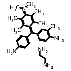 CC1=C(C)C(=[N+](C)C)C(C)=C(C)C1=C(c1ccc(N)cc1)c1ccc(N)c(C)c1.NCCN